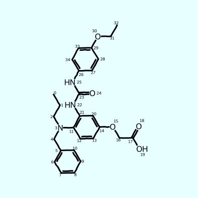 CCCN(Cc1ccccc1)c1ccc(OCC(=O)O)cc1NC(=O)Nc1ccc(OCC)cc1